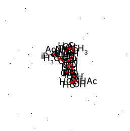 CCC(COC1CC(C(C)C)C1)CC(C)CNC(=O)CCCC(=O)NC(CCC(=O)NCCCNC(=O)CNCOC1OC(CO)C(O)C(O)C1NC(C)=O)(CCC(=O)NCCCNC(=O)C(C)C)CCC(=O)NCCCNC(=O)C(C)(C)CC(C)COC(OC(CO)[C@@H](C)O)[C@H](O)NC(C)=O